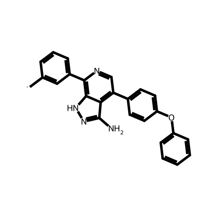 [CH2]c1cccc(-c2ncc(-c3ccc(Oc4ccccc4)cc3)c3c(N)n[nH]c23)c1